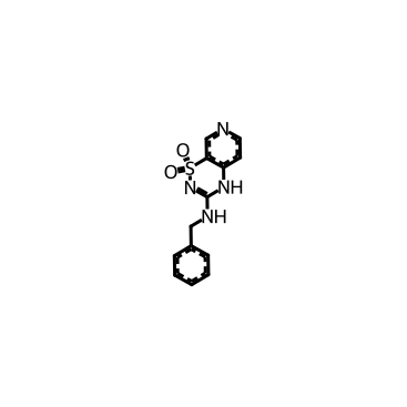 O=S1(=O)N=C(NCc2ccccc2)Nc2ccncc21